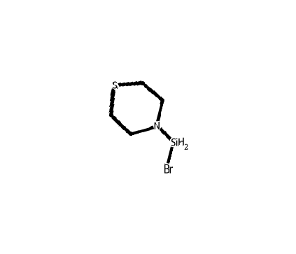 Br[SiH2]N1CCSCC1